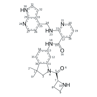 CC1(C)CN(C(=O)[C@@H]2CCN2)c2cc(NC(=O)c3cccnc3NCc3ccnc4[nH]ccc34)ccc21